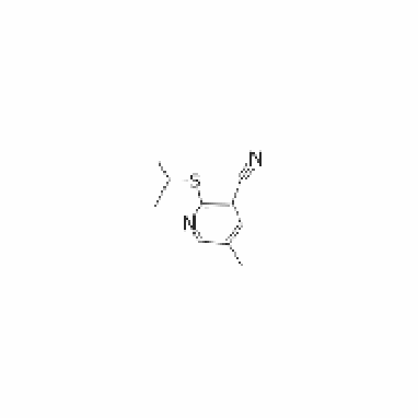 Cc1cnc(SC(C)C)c(C#N)c1